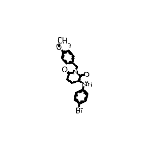 COc1ccc(CN2C(=O)CCC(Nc3ccc(Br)cc3)C2=O)cc1